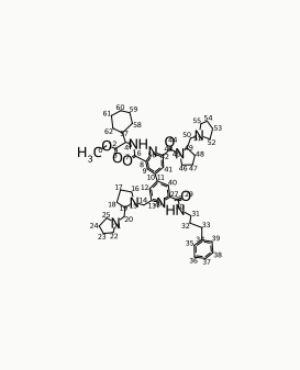 COC(=O)C(NC(=O)c1cc(-c2cc(CN3CCCC3CN3CCCC3)nc(C(=O)NCCCc3ccccc3)c2)cc(C(=O)N2CCCC2CN2CCCC2)n1)C1CCCCC1